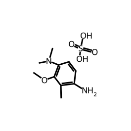 COc1c(N(C)C)ccc(N)c1C.O=S(=O)(O)O